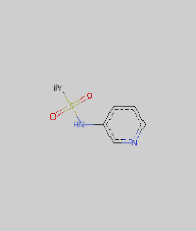 CC(C)S(=O)(=O)Nc1cccnc1